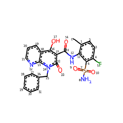 Cc1ccc(F)c(S(N)(=O)=O)c1NC(=O)c1c(O)c2cccnc2n(Cc2ccccc2)c1=O